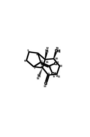 C/C(Cl)=C1/C2CCC1[C@@H]1C(=O)CC[C@H](O)[C@@H]21